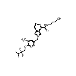 Cc1cc(Cn2cc3c(C(=O)NCCCO)nccc3n2)nnc1OCC(F)(F)C(F)F